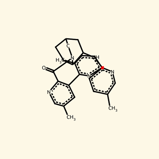 Cc1ccc(NC2CC3CCC2N(C(=O)c2ncc(C)cc2-c2ncccc2C)C3)nc1